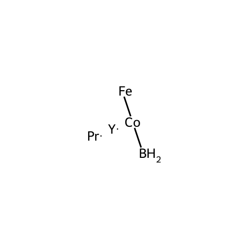 [BH2][Co][Fe].[Pr].[Y]